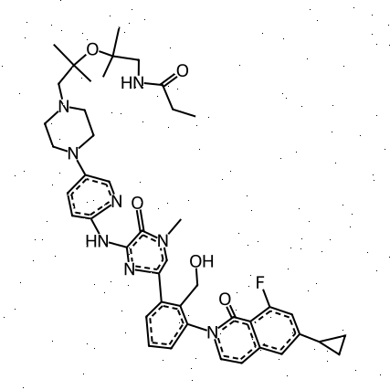 CCC(=O)NCC(C)(C)OC(C)(C)CN1CCN(c2ccc(Nc3nc(-c4cccc(-n5ccc6cc(C7CC7)cc(F)c6c5=O)c4CO)cn(C)c3=O)nc2)CC1